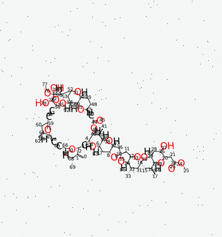 C=C1C2C[C@@H]3O[C@H]4CC5O[C@]6(CC7O[C@]8(C[C@H](C)[C@@H]9O[C@H](CC(=O)OC)[C@H](O)C[C@@H]9O8)C[C@H](C)[C@@H]7O6)C[C@H]5O[C@H]4[C@H](C)[C@H]3OC(=O)C[C@H]3CC[C@@H]4OC5C[C@@H](O[C@]6(CCC7CC(=C)[C@H](CC[C@@H](C[C@H]1C)O2)O7)O[C@@H]5C(O)(OC)C6O)[C@H]4O3